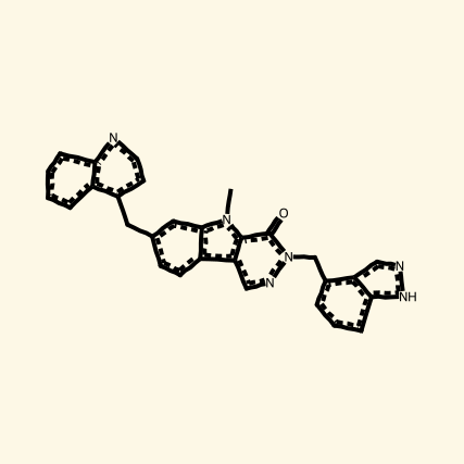 Cn1c2cc(Cc3ccnc4ccccc34)ccc2c2cnn(Cc3cccc4[nH]ncc34)c(=O)c21